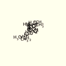 C=C(CC(C)C)N1CCC(NC(=O)C(c2cccnc2)N(C(=O)c2c[nH]cn2)c2ccc(C(C)(C)C)cc2)CC1